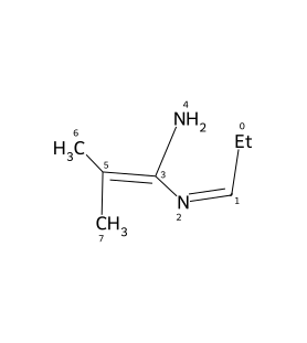 CC/C=N\C(N)=C(C)C